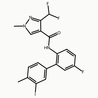 Cc1ccc(-c2cc(F)ccc2NC(=O)c2cn(C)nc2C(F)F)cc1I